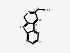 OCC1=NCC2=Nc3ccccc3C2=C1